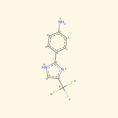 Nc1ccc(-c2nc(C(F)(F)F)c[nH]2)cc1